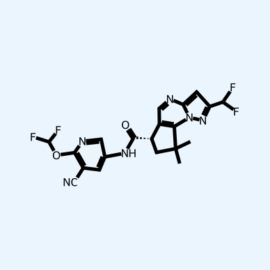 CC1(C)C[C@H](C(=O)Nc2cnc(OC(F)F)c(C#N)c2)c2cnc3cc(C(F)F)nn3c21